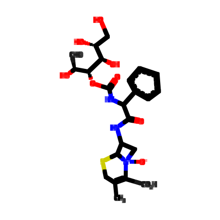 CC1=C(C(=O)O)[N+]2([O-])CC(NC(=O)C(NC(=O)O[C@@H]([C@H](O)[C@H](O)CO)[C@@H](O)C=O)c3ccccc3)C2SC1